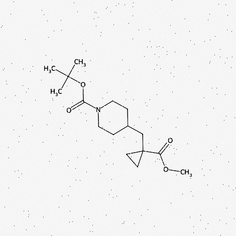 COC(=O)C1(CC2CCN(C(=O)OC(C)(C)C)CC2)CC1